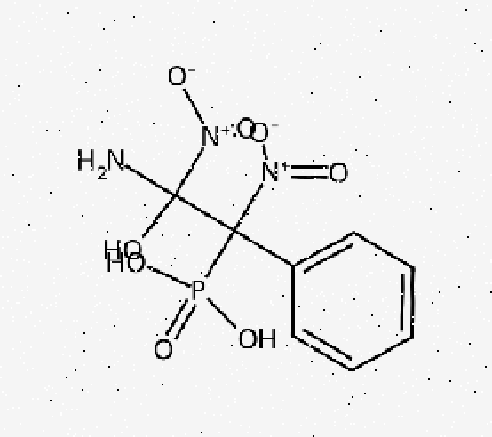 NC(O)([N+](=O)[O-])C(c1ccccc1)([N+](=O)[O-])P(=O)(O)O